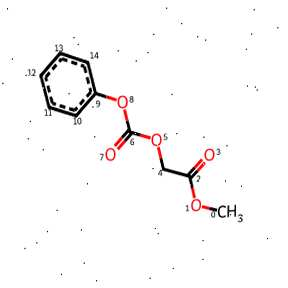 COC(=O)COC(=O)Oc1ccccc1